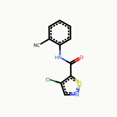 N#Cc1ccccc1NC(=O)c1sncc1Cl